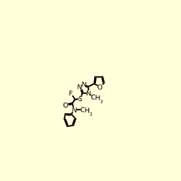 CN(C(=O)C(F)Sc1nnc(-c2ccco2)n1C)c1ccccc1